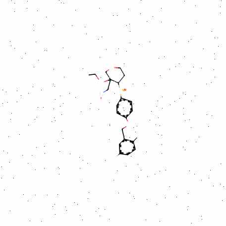 CCOC1(C(=O)NO)COCCC1S(=O)(=O)c1ccc(OCc2cc(F)ccc2C)cc1